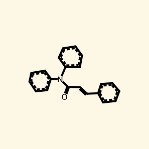 O=C(/C=C/c1ccccc1)N(c1ccccc1)c1ccccc1